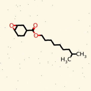 CC(C)CCCCCCCOC(=O)C1CCC2OC2C1